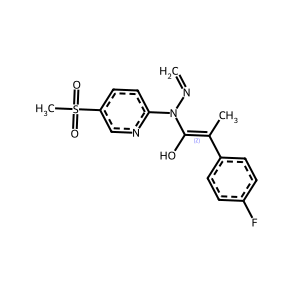 C=NN(/C(O)=C(\C)c1ccc(F)cc1)c1ccc(S(C)(=O)=O)cn1